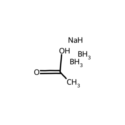 B.B.CC(=O)O.[NaH]